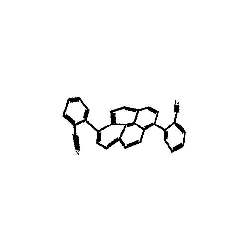 N#Cc1ccccc1-c1ccc2ccc3c(-c4ccccc4C#N)ccc4ccc1c2c43